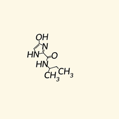 CCC(C)NC(=O)c1nc(O)c[nH]1